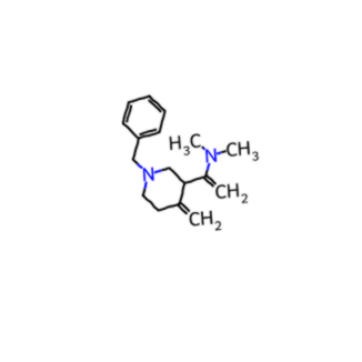 C=C1CCN(Cc2ccccc2)CC1C(=C)N(C)C